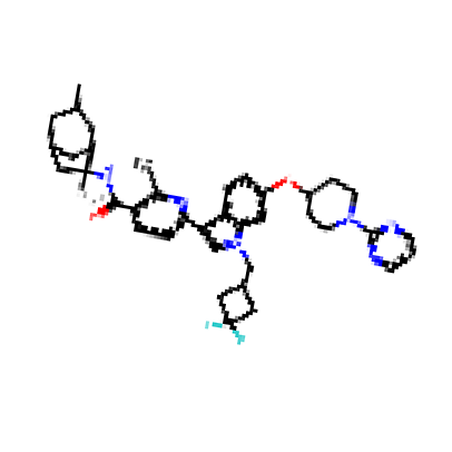 CC1CC2CC(C1)C(NC(=O)c1ccc(-c3cn(CC4CC(F)(F)C4)c4cc(OC5CCN(c6ncccn6)CC5)ccc34)nc1C(F)(F)F)(C(=O)O)C2